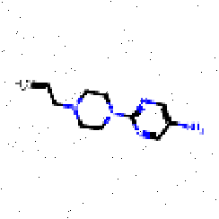 C=CCN1CCN(c2ncc(N)cn2)CC1